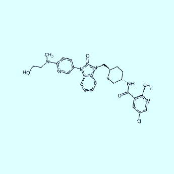 Cc1ncc(Cl)cc1C(=O)N[C@H]1CC[C@H](Cn2c(=O)n(-c3ccc(N(C)CCO)nc3)c3ccccc32)CC1